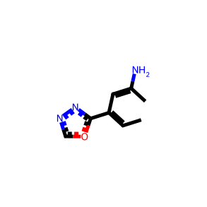 C/C=C(\C=C(/C)N)c1nnco1